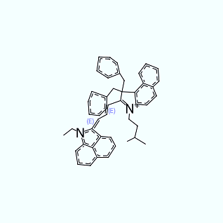 CCn1/c(=C/C=C/C2=[N+](CCC(C)C)c3ccc4ccccc4c3C2(Cc2ccccc2)Cc2ccccc2)c2cccc3cccc1c32